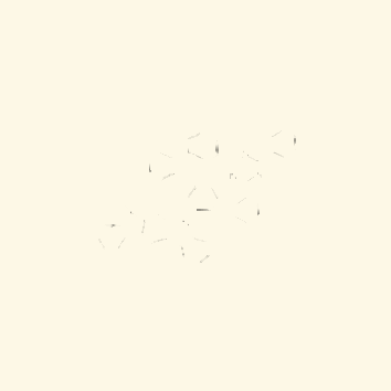 CC1(C)C2=C(C=C3c4ccccc4N(c4cccc5c4oc4cccc(C6=NC(c7ccccc7)=NC(c7cccc(-c8ccccc8)c7)N6)c45)C3C2)c2ccccc21